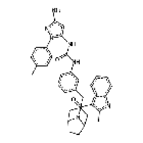 Cc1ccc(-n2nc(C(C)(C)C)cc2NC(=O)Nc2cccc(CC3CC4CCC(C3)N4C(=O)c3c(C)nc4ccccn34)c2)cc1